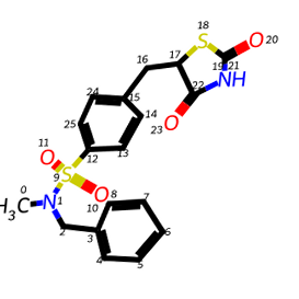 CN(Cc1ccccc1)S(=O)(=O)c1ccc(CC2SC(=O)NC2=O)cc1